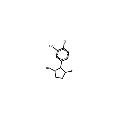 N#CN1CCC(F)C1c1ccc(Cl)c(C(F)(F)F)c1